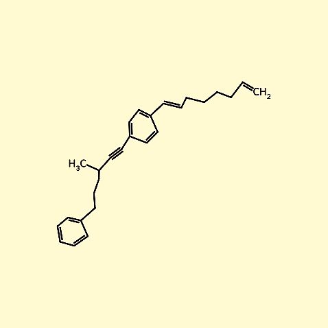 C=CCCCCC=Cc1ccc(C#CC(C)CCCc2ccccc2)cc1